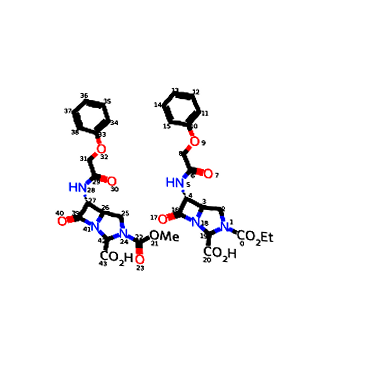 CCOC(=O)N1CC2[C@@H](NC(=O)COc3ccccc3)C(=O)N2C1C(=O)O.COC(=O)N1CC2[C@@H](NC(=O)COc3ccccc3)C(=O)N2C1C(=O)O